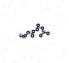 c1ccc(-c2cc(-c3ccccc3)nc(-c3cccc(-n4c5ccccc5c5cc(-c6ccc7c(c6)c6ccccc6n7-c6cccc(-c7ccc8oc9cccnc9c8c7)n6)ccc54)c3)n2)cc1